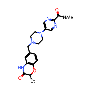 CC[C@@H]1Oc2ccc(CN3CCN(c4cnc(C(=O)NC)nc4)CC3)cc2NC1=O